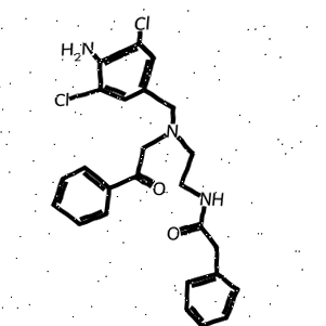 Nc1c(Cl)cc(CN(CCNC(=O)Cc2ccccc2)CC(=O)c2ccccc2)cc1Cl